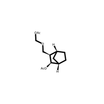 CC(=O)OCOC[C@H]1[C@@H]2CC[C@@H](C2)[C@H]1OC(C)=O